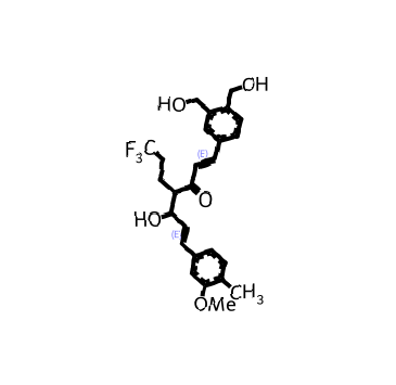 COc1cc(/C=C/C(O)C(CCC(F)(F)F)C(=O)/C=C/c2ccc(CO)c(CO)c2)ccc1C